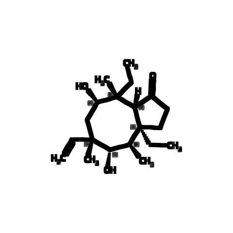 C=C[C@]1(C)C[C@@H](O)[C@](C)(CC)[C@@H]2C(=O)CC[C@@]2(CC)[C@@H](C)[C@@H]1O